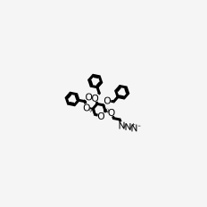 [N-]=[N+]=NCCO[C@@H]1OC[C@@H](OC(=O)c2ccccc2)C(OCc2ccccc2)C1OCc1ccccc1